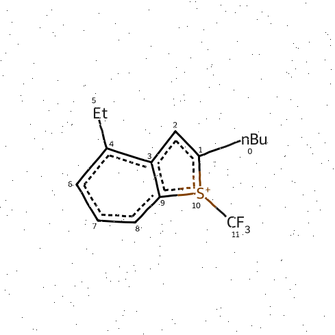 CCCCc1cc2c(CC)cccc2[s+]1C(F)(F)F